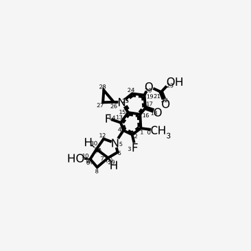 Cc1c(F)c(N2C[C@H]3C[C@@H](O)[C@H]3C2)c(F)c2c1c(=O)c(OC(=O)O)cn2C1CC1